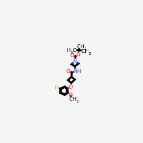 COc1ccc(F)cc1OC1CC(C(=O)NC2CN(C(=O)OC(C)(C)C)C2)C1